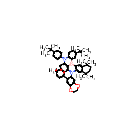 Cc1cc2c3c(c1)N(c1cc4c(cc1-c1ccccc1)OCCO4)c1cc4c(cc1B3c1cc(C(C)(C)C)ccc1N2c1ccc(C(C)(C)C)cc1)C(C)(C)CCC4(C)C